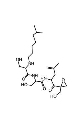 C=C(C)CC(NC(=O)C(CO)NC(=O)C(CO)NCCCCCC(C)C)C(=O)C1(CO)CO1